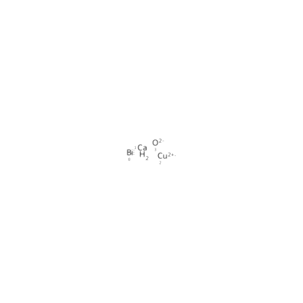 [Bi].[CaH2].[Cu+2].[O-2]